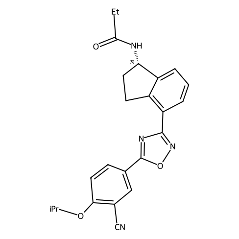 CCC(=O)N[C@H]1CCc2c(-c3noc(-c4ccc(OC(C)C)c(C#N)c4)n3)cccc21